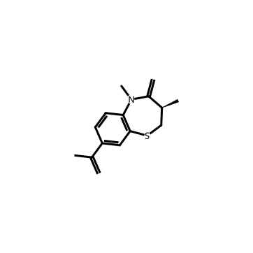 C=C(C)c1ccc2c(c1)SC[C@H](C)C(=C)N2C